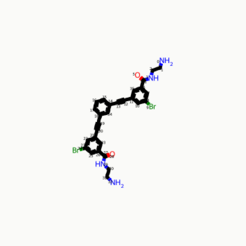 NCCNC(=O)c1cc(Br)cc(C#Cc2cccc(C#Cc3cc(Br)cc(C(=O)NCCN)c3)c2)c1